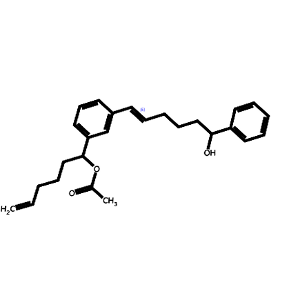 C=CCCCC(OC(C)=O)c1cccc(/C=C/CCCC(O)c2ccccc2)c1